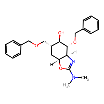 CN(C)C1=N[C@@H]2[C@@H](OCc3ccccc3)[C@H](O)[C@@H](COCc3ccccc3)C[C@@H]2O1